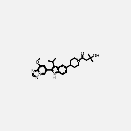 COc1cc(-c2[nH]c3ccc(C4CCN(C(=O)CC(C)(C)O)CC4)cc3c2C(C)C)cn2ncnc12